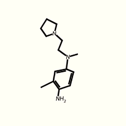 Cc1cc(N(C)CCN2CCCC2)ccc1N